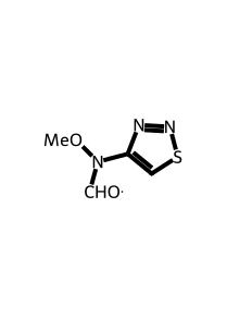 CON([C]=O)c1csnn1